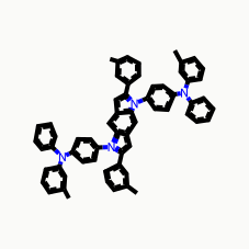 Cc1cccc(-c2cc3cc4c(cc(-c5cccc(C)c5)n4-c4ccc(N(c5ccccc5)c5cccc(C)c5)cc4)cc3n2-c2ccc(N(c3ccccc3)c3cccc(C)c3)cc2)c1